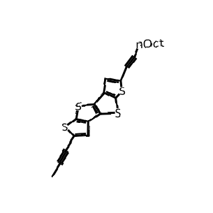 CC#Cc1cc2c(s1)sc1c3cc(C#CCCCCCCCC)sc3sc21